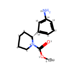 CC(C)(C)OC(=O)N1CCCC[C@@H]1c1cccc(N)c1